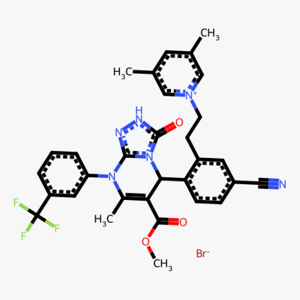 COC(=O)C1=C(C)N(c2cccc(C(F)(F)F)c2)c2n[nH]c(=O)n2C1c1ccc(C#N)cc1CC[n+]1cc(C)cc(C)c1.[Br-]